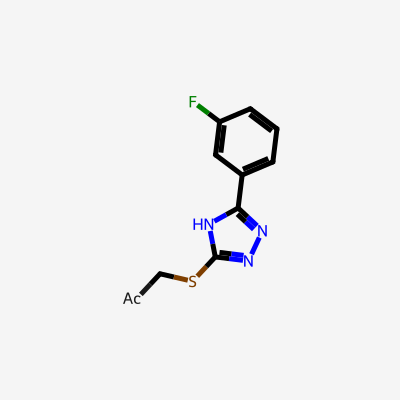 CC(=O)CSc1nnc(-c2cccc(F)c2)[nH]1